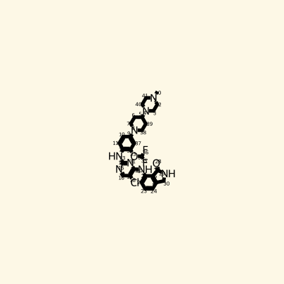 CN1CCN(C2CCN(c3ccc(Nc4ncc(Cl)c(Nc5cccc6c5C(=O)NC6)n4)c(OC(F)F)c3)CC2)CC1